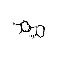 NC1CCCCCN1c1cnc(Br)c(F)c1